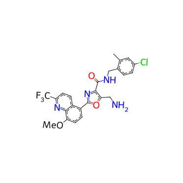 COc1ccc(-c2nc(C(=O)NCc3ccc(Cl)cc3C)c(CN)o2)c2ccc(C(F)(F)F)nc12